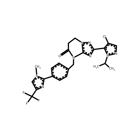 CC(C)n1ncc(Cl)c1-c1nc2n(n1)CCC(=O)N2Cc1ccc(-c2nc(C(F)(F)F)cn2C)cc1